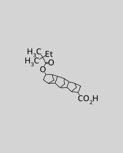 CCC(C)(C)C(=O)OC1CC2CC1C1C3CC(C21)C1C2CC(CC2C(=O)O)C31